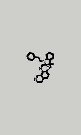 CC1(C)c2ccccc2N(CCc2ccccc2)C12C=Nc1c(ccc3ccncc13)O2